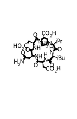 CC[C@H](C)[C@H](NC(=O)[C@@H](N)C(C)C)C(=O)N[C@@H](CC(=O)O)C(=O)N[C@@H](CC(N)=O)C(=O)N[C@@H](CC(=O)O)C(=O)N1CCC[C@H]1C(=O)O